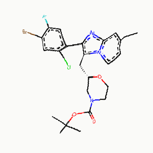 Cc1ccn2c(C[C@H]3CN(C(=O)OC(C)(C)C)CCO3)c(-c3cc(F)c(Br)cc3Cl)nc2c1